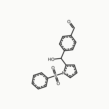 O=Cc1ccc(C(O)c2cccn2S(=O)(=O)c2ccccc2)cc1